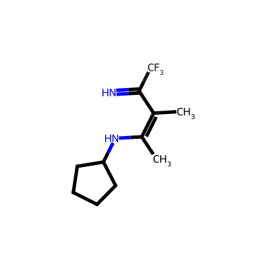 C/C(NC1CCCC1)=C(\C)C(=N)C(F)(F)F